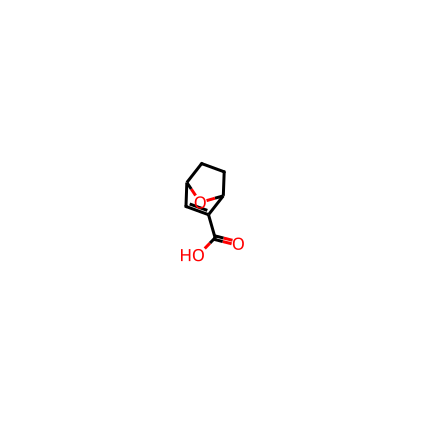 O=C(O)C1=CC2CCC1O2